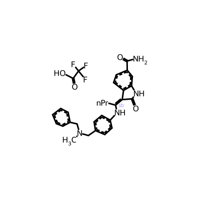 CCC/C(Nc1ccc(CN(C)Cc2ccccc2)cc1)=C1/C(=O)Nc2cc(C(N)=O)ccc21.O=C(O)C(F)(F)F